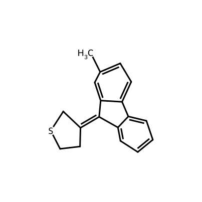 Cc1ccc2c(c1)/C(=C1/CCSC1)c1ccccc1-2